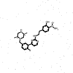 C[C@H]1CN(Cc2ccc(F)c(-c3ccnc(NCCc4ccc([S+](N)[O-])c(O)c4)n3)c2)[C@@H](C)CN1